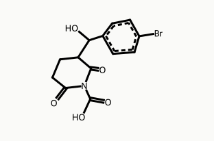 O=C(O)N1C(=O)CCC(C(O)c2ccc(Br)cc2)C1=O